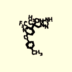 Cc1ccc(Oc2ccc(C(C)(O)CN3CNC=N3)c(C(F)(F)F)n2)cc1